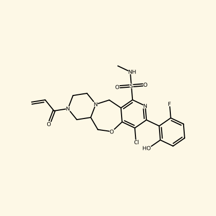 C=CC(=O)N1CCN2Cc3c(S(=O)(=O)NC)nc(-c4c(O)cccc4F)c(Cl)c3OCC2C1